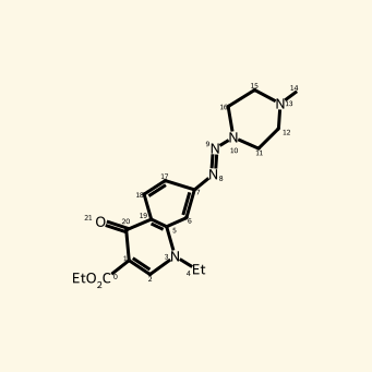 CCOC(=O)c1cn(CC)c2cc(/N=N/N3CCN(C)CC3)ccc2c1=O